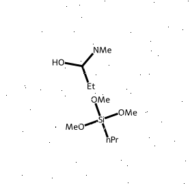 CCC(O)NC.CCC[Si](OC)(OC)OC